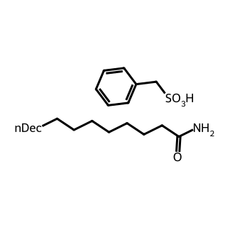 CCCCCCCCCCCCCCCCCC(N)=O.O=S(=O)(O)Cc1ccccc1